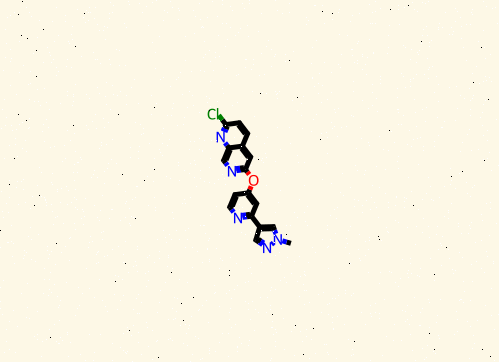 Cn1cc(-c2cc(Oc3cc4ccc(Cl)nc4cn3)ccn2)cn1